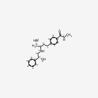 Br.CNC(=O)c1ccc(CC[C@H](C)NC[C@H](O)c2ccccc2)cc1